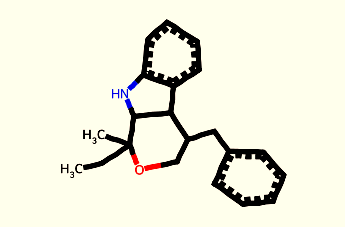 CCC1(C)OCC(Cc2ccccc2)C2c3ccccc3NC21